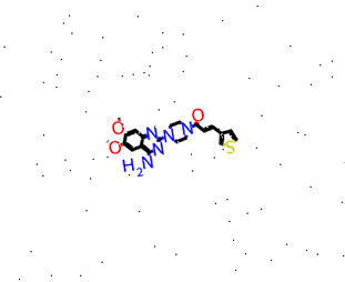 COc1cc2nc(N3CCN(C(=O)C=Cc4ccsc4)CC3)nc(N)c2cc1OC